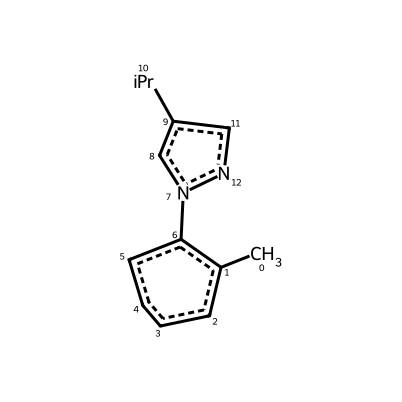 Cc1ccccc1-n1cc(C(C)C)cn1